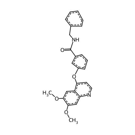 COc1cc2nccc(Oc3cccc(C(=O)NCc4ccccc4)c3)c2cc1OC